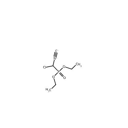 [C-]#[N+]C(Cl)P(=O)(OCC)OCC